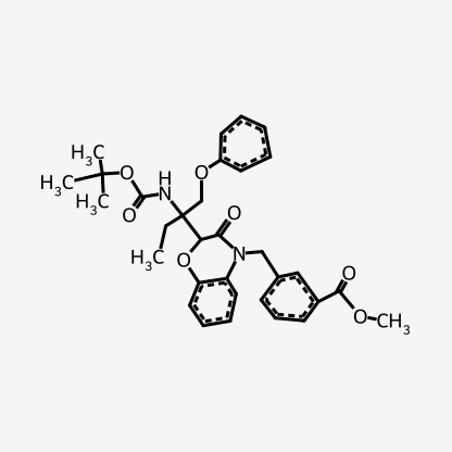 CCC(COc1ccccc1)(NC(=O)OC(C)(C)C)C1Oc2ccccc2N(Cc2cccc(C(=O)OC)c2)C1=O